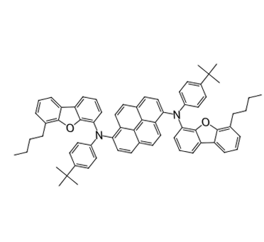 CCCCc1cccc2c1oc1c(N(c3ccc(C(C)(C)C)cc3)c3ccc4ccc5c(N(c6ccc(C(C)(C)C)cc6)c6cccc7c6oc6c(CCCC)cccc67)ccc6ccc3c4c65)cccc12